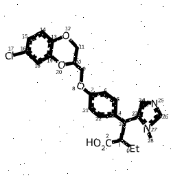 CCC(C(=O)O)C(c1ccc(OCC2COc3ccc(Cl)cc3O2)cc1)c1cncn1C